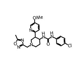 COc1ccc(C2CN(Cc3noc(C)n3)CCC2NC(=O)Nc2ccc(Cl)cc2)nc1